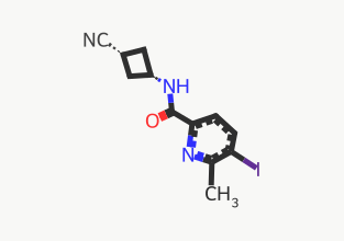 Cc1nc(C(=O)N[C@H]2C[C@@H](C#N)C2)ccc1I